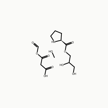 CO.O=C(OCC(O)CO)[C@@H]1CCCN1.O=COC(=O)CC(=O)O